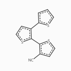 N#Cc1ccsc1-c1sccc1-c1cccs1